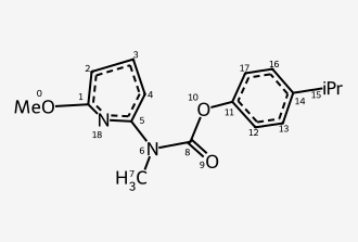 COc1cccc(N(C)C(=O)Oc2ccc(C(C)C)cc2)n1